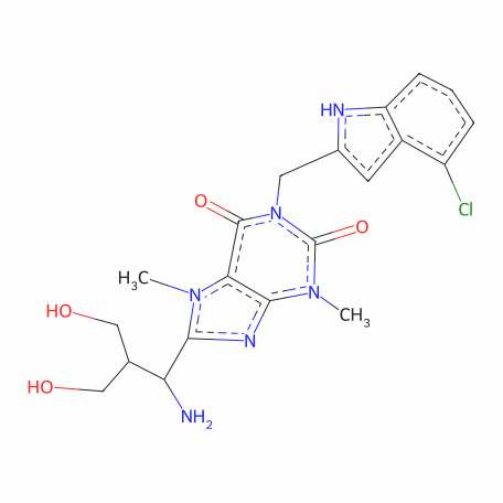 Cn1c(C(N)C(CO)CO)nc2c1c(=O)n(Cc1cc3c(Cl)cccc3[nH]1)c(=O)n2C